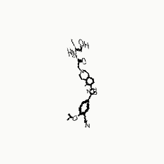 Cc1c(-c2noc(-c3ccc(OC(C)C)c(C#N)c3)n2)ccc2c1CCN(CC(=O)N[C@@H](C)CO)CC2